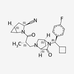 C[C@@H](CN1C[C@@H]2C[C@H]1C(=O)N2[C@@H](c1ccc(F)cc1)C1CCC1)C(=O)N1C2C[C@H]2C[C@H]1C#N